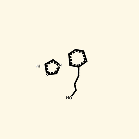 I.OCCCc1ccccc1.c1cscn1